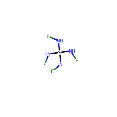 FN[Si](NF)(NF)NF